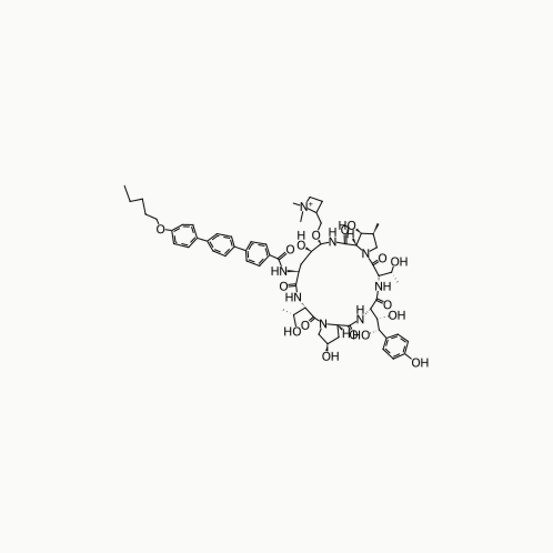 CCCCCOc1ccc(-c2ccc(-c3ccc(C(=O)N[C@H]4C[C@@H](O)[C@@H](OCC5CC[N+]5(C)C)NC(=O)[C@@H]5[C@@H](O)[C@@H](C)CN5C(=O)[C@H]([C@@H](C)O)NC(=O)[C@H]([C@H](O)[C@@H](O)c5ccc(O)cc5)NC(=O)[C@@H]5C[C@@H](O)CN5C(=O)[C@H]([C@@H](C)O)NC4=O)cc3)cc2)cc1